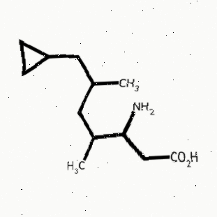 CC(CC1CC1)CC(C)C(N)CC(=O)O